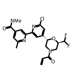 C=CC(=O)N1C[C@H](c2cc(Cl)nc(-c3cc(C(=O)NC)cc(C)n3)c2)O[C@@H](C(F)F)C1